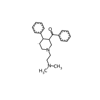 CN(C)CCN1C[CH]C(c2ccccc2)C(C(=O)c2ccccc2)C1